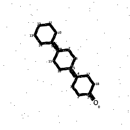 O=C1CCC(=C2CCC(=C3CCCCC3)CC2)CC1